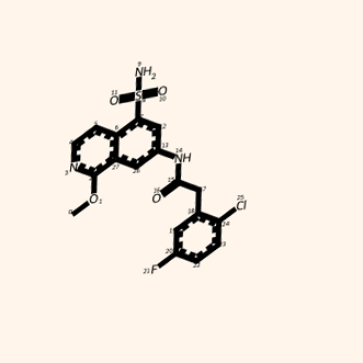 COc1nccc2c(S(N)(=O)=O)cc(NC(=O)Cc3cc(F)ccc3Cl)cc12